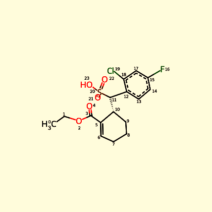 CCOC(=O)C1=CCCC[C@H]1C(c1ccc(F)cc1Cl)S(=O)(=O)O